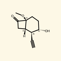 C#C[C@@H]1[C@@H](O)CC[C@@]2(OC)C(=O)C[C@@H]12